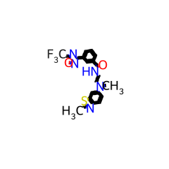 Cc1nc2ccc(N(C)CCNC(=O)c3cccc(-c4noc(C(F)(F)F)n4)c3)cc2s1